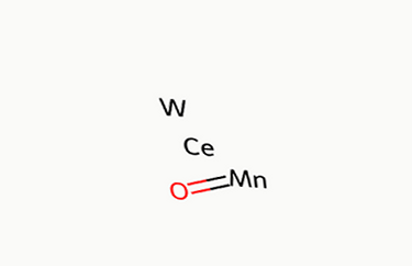 [Ce].[O]=[Mn].[W]